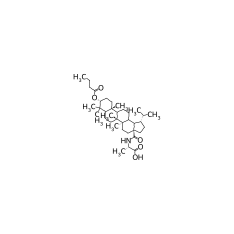 CCCC(=O)O[C@@H]1CC[C@@]2(C)C(CC[C@]3(C)C2CCC2C4[C@H](C(C)C)CC[C@]4(C(=O)N[C@@H](C)C(=O)O)CC[C@]23C)C1(C)C